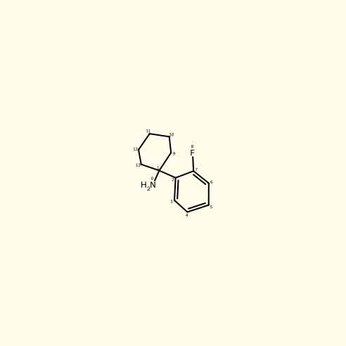 NC1(c2ccccc2F)CCCCC1